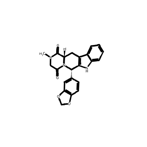 CN1CC(=O)N2[C@@H](c3ccc4c(c3)OCO4)c3[nH]c4ccccc4c3C[C@H]2C1=O